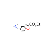 CCOC(=O)c1cc2cc(CN(C)C)ccc2o1